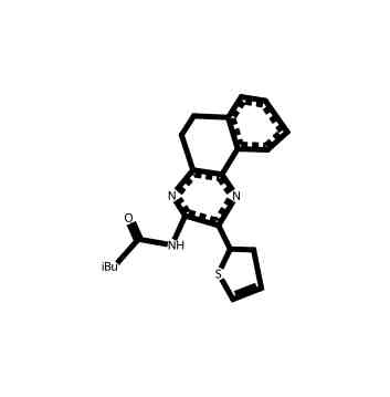 CCC(C)C(=O)Nc1nc2c(nc1C1CC=CS1)-c1ccccc1CC2